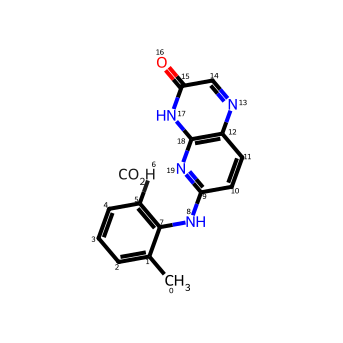 Cc1cccc(C(=O)O)c1Nc1ccc2ncc(=O)[nH]c2n1